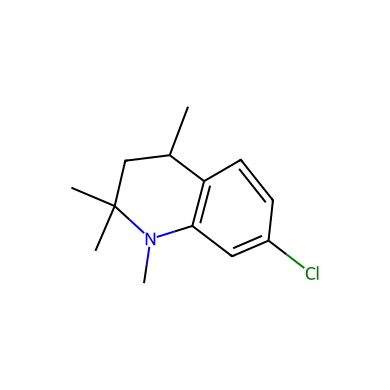 CC1CC(C)(C)N(C)c2cc(Cl)ccc21